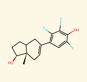 C[C@]12CC=C(c3cc(F)c(O)c(F)c3F)CC1CC[C@@H]2O